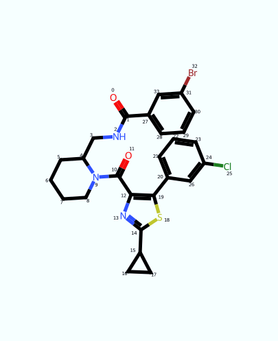 O=C(NCC1CCCCN1C(=O)c1nc(C2CC2)sc1-c1cccc(Cl)c1)c1cccc(Br)c1